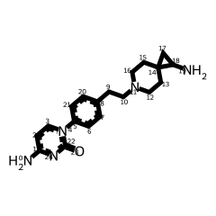 Nc1ccn(-c2ccc(CCN3CCC4(CC3)CC4N)cc2)c(=O)n1